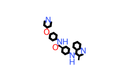 Cc1cnc2ccccc2c1Nc1ccc(C(=O)Nc2ccc(Oc3ccncc3)cc2)cc1